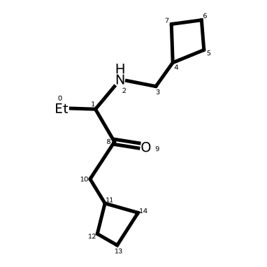 CCC(NCC1CCC1)C(=O)CC1CCC1